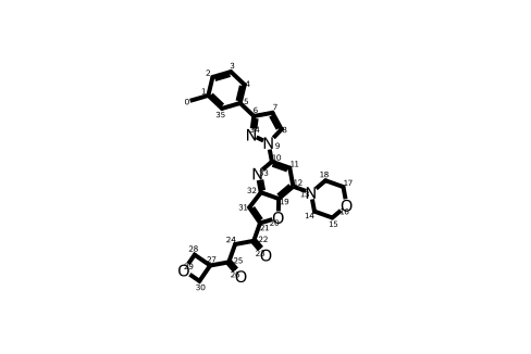 Cc1cccc(-c2ccn(-c3cc(N4CCOCC4)c4oc(C(=O)CC(=O)C5COC5)cc4n3)n2)c1